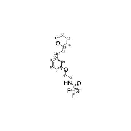 O=C(NCCOc1cccc(CCC2CCCCO2)c1)C(F)(F)F